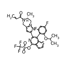 C=CC(=O)N1Cc2cc(-c3nc(OS(=O)(=O)C(F)(F)F)c4ccsc4c3-c3c(F)cc(F)cc3OC(C)C)nn2C[C@H]1C